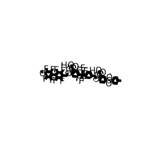 COc1c(F)c(F)c(-c2c(F)c(F)c(COc3ccc(C(c4ccc(COc5ccc(S(=O)(=O)c6ccc(C)cc6)cc5S(=O)(=O)O)cc4)(C(F)(F)F)C(F)(F)F)cc3S(=O)(=O)O)c(F)c2F)c(F)c1F